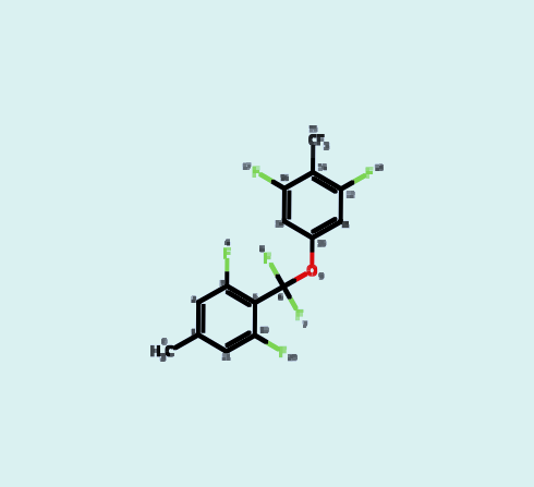 Cc1cc(F)c(C(F)(F)Oc2cc(F)c(C(F)(F)F)c(F)c2)c(F)c1